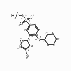 CNS(=O)(=O)c1ccc(NC2CCCCC2)c([C@@H]2CC(Br)=NO2)c1